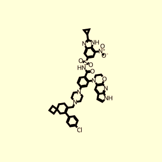 O=C(NS(=O)(=O)c1cc([N+](=O)[O-])c2[nH]c(C3CC3)nc2c1)c1ccc(N2CCN(CC3=C(c4ccc(Cl)cc4)CC4(CCC4)CC3)CC2)cc1N1CCOc2nc3[nH]ccc3cc21